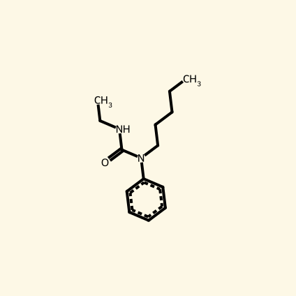 CCCCCN(C(=O)NCC)c1ccccc1